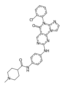 CN1CCC(C(=O)Nc2ccc(Nc3ncc4c(=O)n(-c5ccccc5Cl)c5nccn5c4n3)cc2)CC1